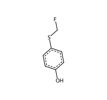 Oc1ccc(SCF)cc1